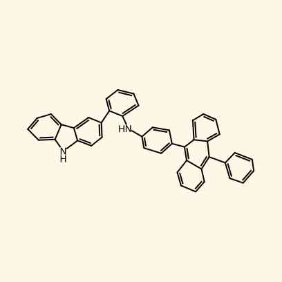 c1ccc(-c2c3ccccc3c(-c3ccc(Nc4ccccc4-c4ccc5[nH]c6ccccc6c5c4)cc3)c3ccccc23)cc1